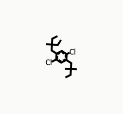 CCC(C)(C)Cc1cc(Cl)c(CC(C)(CC)CC)cc1Cl